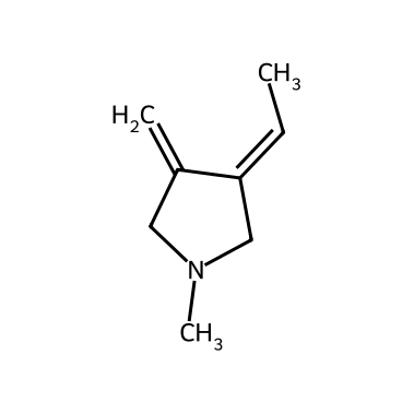 C=C1CN(C)C/C1=C/C